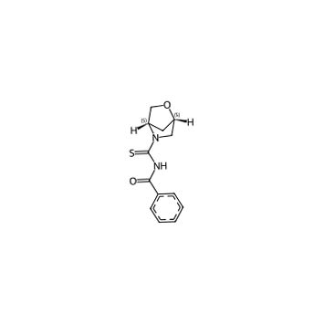 O=C(NC(=S)N1C[C@@H]2C[C@H]1CO2)c1ccccc1